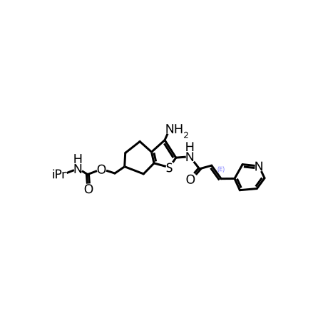 CC(C)NC(=O)OCC1CCc2c(sc(NC(=O)/C=C/c3cccnc3)c2N)C1